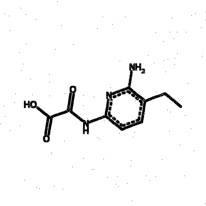 CCc1ccc(NC(=O)C(=O)O)nc1N